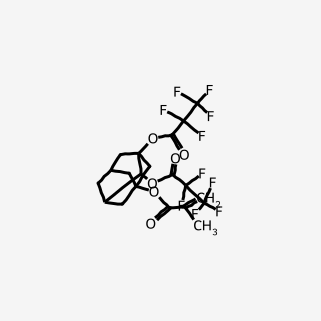 C=C(C)C(=O)OC12CC3CC(C1)C(OC(=O)C(F)(F)C(F)(F)F)C(OC(=O)C(F)(F)C(F)(F)F)(C3)C2